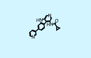 O=C(Nc1cncc2[nH]c3cc(-c4cccnc4)ccc3c12)C1CC1